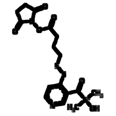 C[N+](C)(O)C(=O)c1cnccc1SSCCCC(=O)ON1C(=O)CCC1=O